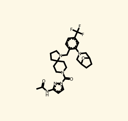 CC(=O)Nc1ccn(C(=O)N2CCC3(CCCN3Cc3ccc(C(F)(F)F)cc3N3CC4CCC(C3)O4)CC2)n1